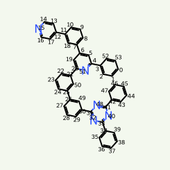 c1ccc(-c2cc(-c3cccc(-c4ccncc4)c3)cc(-c3cccc(-c4cccc(-c5nc(-c6ccccc6)nc(-c6ccccc6)n5)c4)c3)n2)cc1